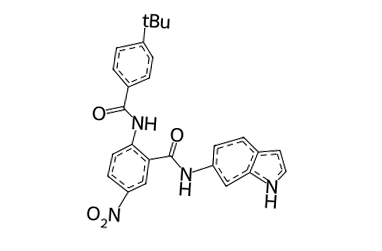 CC(C)(C)c1ccc(C(=O)Nc2ccc([N+](=O)[O-])cc2C(=O)Nc2ccc3cc[nH]c3c2)cc1